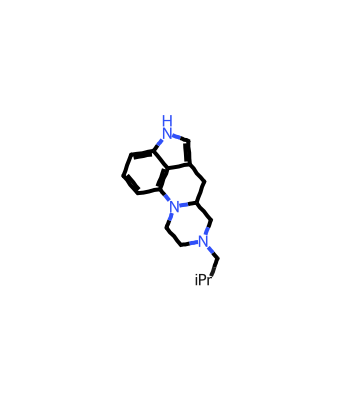 CC(C)CN1CCN2c3cccc4[nH]cc(c34)CC2C1